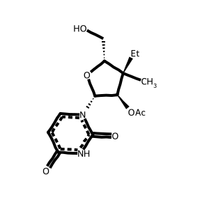 CC[C@]1(C)[C@@H](CO)O[C@@H](n2ccc(=O)[nH]c2=O)[C@@H]1OC(C)=O